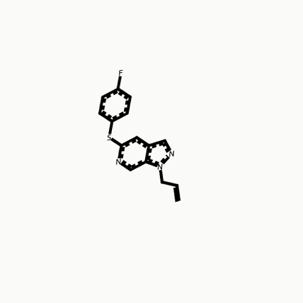 C=CCn1ncc2cc(Sc3ccc(F)cc3)ncc21